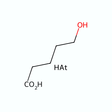 O=C(O)CCCCO.[AtH]